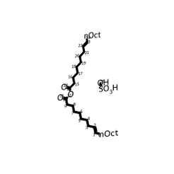 CCCCCCCCC=CCCCCCCCC(=O)OC(=O)CCCCCCCC=CCCCCCCCC.O=S(=O)(O)O